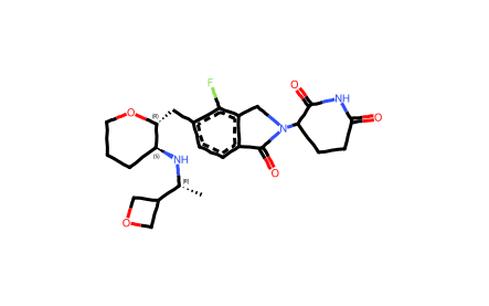 C[C@@H](N[C@H]1CCCO[C@@H]1Cc1ccc2c(c1F)CN(C1CCC(=O)NC1=O)C2=O)C1COC1